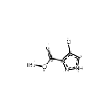 CC(C)(C)OC(=O)c1n[nH]cc1Cl